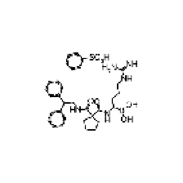 N=C(N)NCCCC(NC(=O)C1(C(=O)NCC(c2ccccc2)c2ccccc2)CCCC1)B(O)O.O=S(=O)(O)c1ccccc1